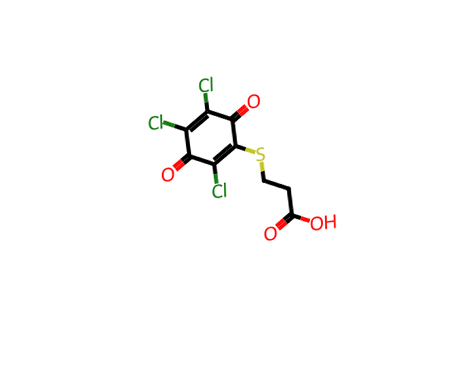 O=C(O)CCSC1=C(Cl)C(=O)C(Cl)=C(Cl)C1=O